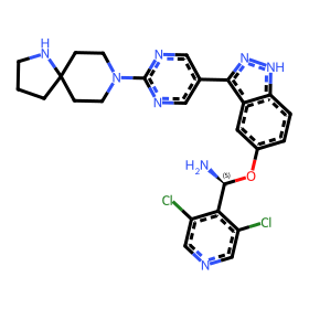 N[C@@H](Oc1ccc2[nH]nc(-c3cnc(N4CCC5(CCCN5)CC4)nc3)c2c1)c1c(Cl)cncc1Cl